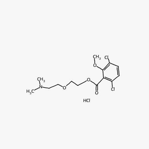 COc1c(Cl)ccc(Cl)c1C(=O)OCCOCCN(C)C.Cl